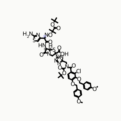 COc1ccc(COc2ccc(C(=O)N(Cc3nnn([C@]4(C(=O)O)CN5C(=O)[C@@H](NC(=O)/C(=N\OC(C)(C)C(=O)OC(C)(C)C)c6csc(N)n6)[C@H]5S4)n3)C(=O)OC(C)(C)C)c(Cl)c2OCc2ccc(OC)cc2)cc1